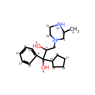 CC1CN(CC(O)C(O)(c2ccccc2)C2CCCC2)CCN1